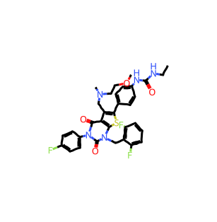 CCNC(=O)Nc1ccc(-c2sc3c(c2CN(C)CCOC)c(=O)n(-c2ccc(F)cc2)c(=O)n3Cc2c(F)cccc2F)cc1